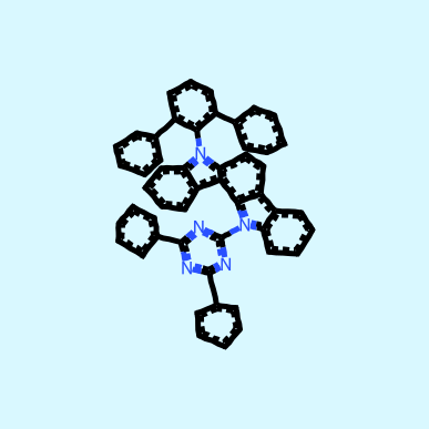 c1ccc(-c2nc(-c3ccccc3)nc(-n3c4ccccc4c4ccc5c(c6ccccc6n5-c5c(-c6ccccc6)cccc5-c5ccccc5)c43)n2)cc1